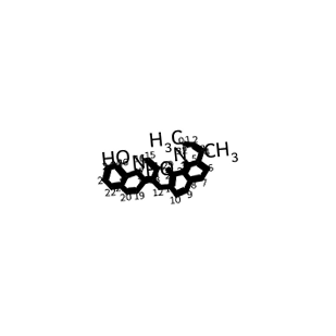 Cc1cc(C)c2ccc3ccc(Cc4ccnc5c4ccc4cccc(O)c45)c(O)c3c2n1